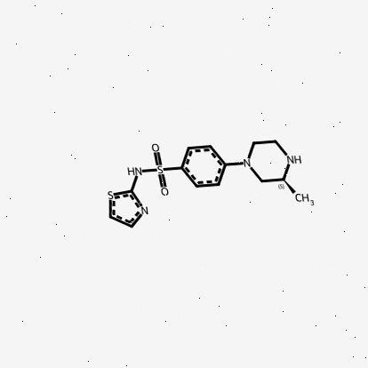 C[C@H]1CN(c2ccc(S(=O)(=O)Nc3nccs3)cc2)CCN1